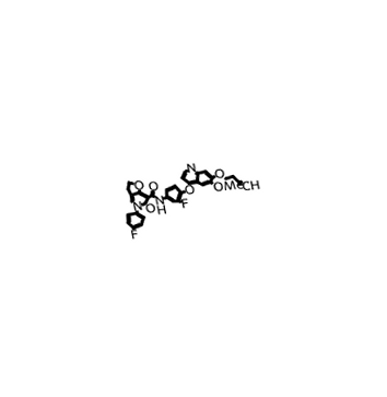 C#CCCOc1cc2nccc(Oc3ccc(NC(=O)c4c5c(cn(-c6ccc(F)cc6)c4=O)CCO5)cc3F)c2cc1OC